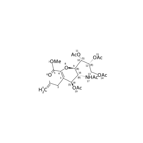 C=CCC1=C(C(=O)OC)O[C@@H]([C@H](OC(C)=O)[C@@H](COC(C)=O)OC(C)=O)[C@H](NC(C)=O)[C@H]1OC(C)=O